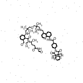 CC(CCC(=O)NC=O)N(C)C(=O)c1c(C=O)cccc1NCC(C)(C)COCC(C)(C)CNCc1ccnc2c(NC(=O)c3ccc(N4C(=O)[C@@H]5[C@H](C4=O)[C@@H]4C=C[C@H]5C4)cc3)cccc12